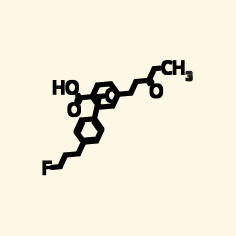 CCC(=O)CCC12CCC(C(=O)O)(CC1)C(c1ccc(CCCF)cc1)C2